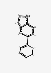 [c]1nc2nc(C3=CC=CCO3)ncc2[nH]1